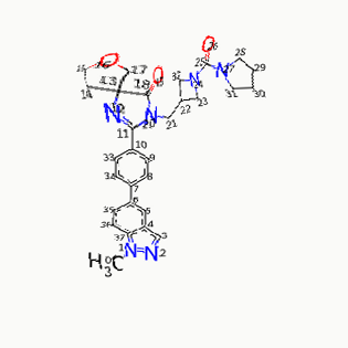 Cn1ncc2cc(-c3ccc(C4=NC5(CCOC5)C(=O)N4CC4CN(C(=O)N5CCCC5)C4)cc3)ccc21